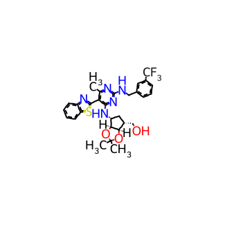 Cc1nc(NCc2cccc(C(F)(F)F)c2)nc(N[C@@H]2C[C@H](CO)[C@H]3OC(C)(C)O[C@H]32)c1-c1nc2ccccc2s1